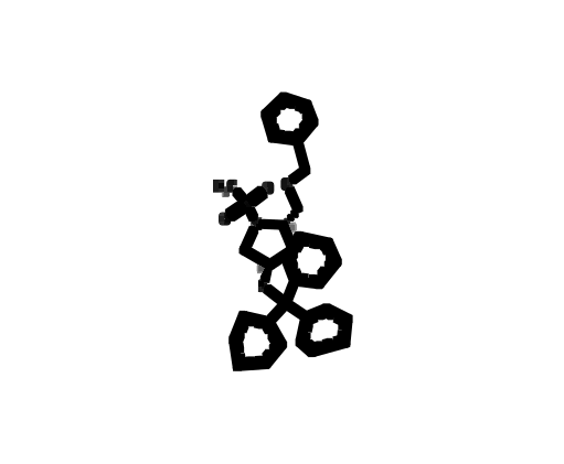 CS(=O)(=O)N1C[C@H](SC(c2ccccc2)(c2ccccc2)c2ccccc2)C[C@H]1COCc1ccccc1